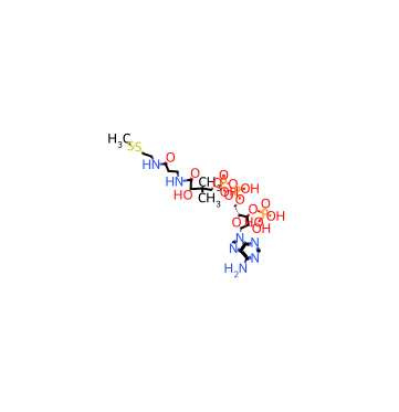 CSSCCNC(=O)CCNC(=O)[C@@H](O)C(C)(C)COP(=O)(O)OP(=O)(O)OC[C@H]1O[C@@H](n2cnc3c(N)ncnc32)[C@@H](O)C1OP(=O)(O)O